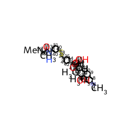 C/C=C1\C=C[C@@]2(C)C(=C1)CC[C@@H]1C2[C@@H](O)C[C@@]2(C)C1C[C@H]1O[C@@H](c3ccc(CSc4cccc(NC(=O)[C@H](C)NC)c4)cc3)O[C@]12C(=O)CO